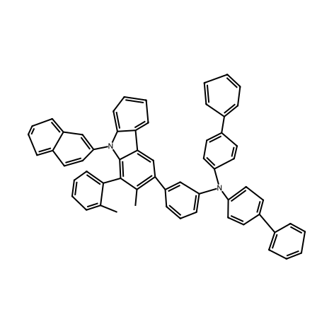 Cc1ccccc1-c1c(C)c(-c2cccc(N(c3ccc(-c4ccccc4)cc3)c3ccc(-c4ccccc4)cc3)c2)cc2c3ccccc3n(-c3ccc4ccccc4c3)c12